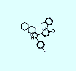 Cc1ccccc1-n1nc(-c2c(-c3ccc(F)cc3)nn3c2NCC2(CCCCC2)C3)ccc1=O